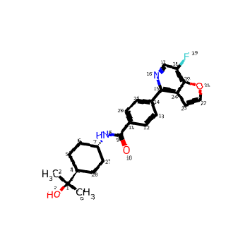 CC(C)(O)[C@H]1CC[C@H](NC(=O)c2ccc(-c3ncc(F)c4occc34)cc2)CC1